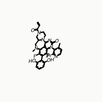 C=CC(=O)N1CCN2c3nc(=O)n(-c4c(C)ccnc4C(C)C)c4c(F)c(-c5c(O)cccc5O)c(F)c(c34)N(C)CC2C1